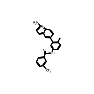 Cc1ccc(NC(=O)c2cccc(C(F)(F)F)c2)cc1-c1ccc2nc(N)ccc2c1